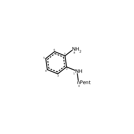 CCCCCNc1ccccc1N